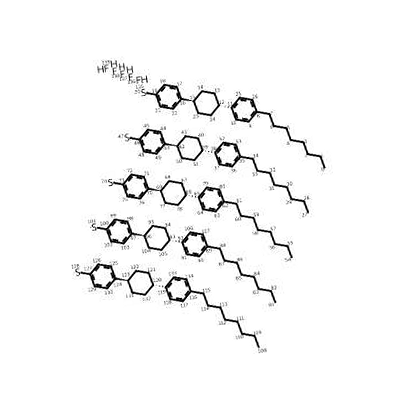 CCCCCCCCc1ccc([C@H]2CC[C@H](c3ccc([S])cc3)CC2)cc1.CCCCCCCCc1ccc([C@H]2CC[C@H](c3ccc([S])cc3)CC2)cc1.CCCCCCCCc1ccc([C@H]2CC[C@H](c3ccc([S])cc3)CC2)cc1.CCCCCCCCc1ccc([C@H]2CC[C@H](c3ccc([S])cc3)CC2)cc1.CCCCCCCCc1ccc([C@H]2CC[C@H](c3ccc([S])cc3)CC2)cc1.F.F.F.F.F